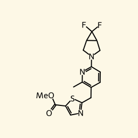 COC(=O)c1cnc(Cc2ccc(N3CC4C(C3)C4(F)F)nc2C)s1